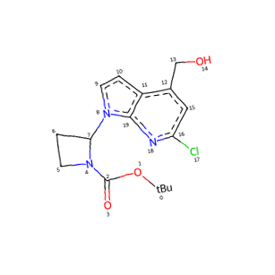 CC(C)(C)OC(=O)N1CCC1n1ccc2c(CO)cc(Cl)nc21